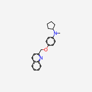 CN(c1ccc(OCc2ccc3ccccc3n2)cc1)C1CCCC1